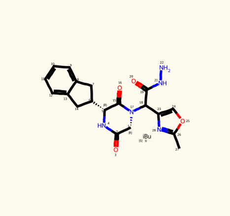 CC[C@H](C)[C@@H]1C(=O)N[C@H](C2Cc3ccccc3C2)C(=O)N1C(C(=O)NN)c1coc(C)n1